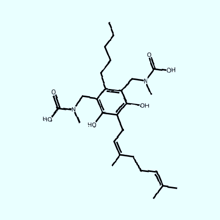 CCCCCc1c(CN(C)C(=O)O)c(O)c(CC=C(C)CCC=C(C)C)c(O)c1CN(C)C(=O)O